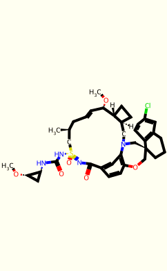 CO[C@H]1/C=C/C[C@H](C)C[S@@](=O)(NC(=O)N[C@@H]2C[C@@H]2OC)=NC(=O)c2ccc3c(c2)N(C[C@@H]2CC[C@H]21)C[C@@]1(CCCc2cc(Cl)ccc21)CO3